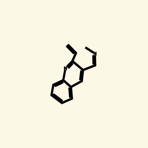 C=Cc1nc2ccccc2cc1/C=N\C